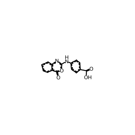 O=C(O)c1ccc(Nc2nc3ccccc3c(=O)o2)cc1